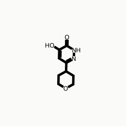 O=c1[nH]nc(C2CCOCC2)cc1O